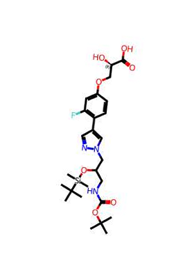 CC(C)(C)OC(=O)NCC(Cn1cc(-c2ccc(OC[C@@H](O)C(=O)O)cc2F)cn1)O[Si](C)(C)C(C)(C)C